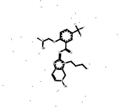 CCCCn1c2c(sc1=NC(=O)c1cc(C(F)(F)F)ccc1OC[C@H](C)O)C=CN(O)C2